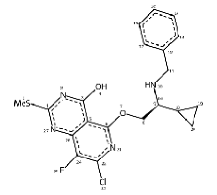 CSc1nc(O)c2c(OC[C@@H](NCc3ccccc3)C3CC3)nc(Cl)c(F)c2n1